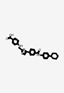 O=C(O)c1ccc(NCc2nc(-c3ccc(C(=O)Nc4ccc(C5CCCCC5)cc4)cc3)cs2)cc1